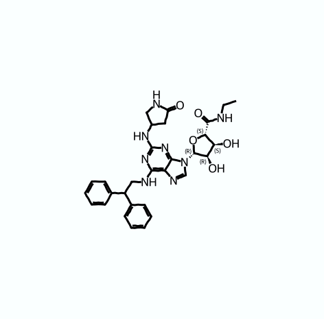 CCNC(=O)[C@H]1O[C@@H](n2cnc3c(NCC(c4ccccc4)c4ccccc4)nc(NC4CNC(=O)C4)nc32)[C@H](O)[C@@H]1O